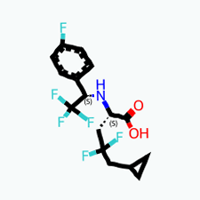 O=C(O)[C@H](CC(F)(F)CC1CC1)N[C@@H](c1ccc(F)cc1)C(F)(F)F